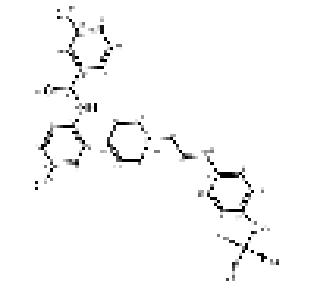 O=C(Nc1ccc(Cl)cc1C1=CCN(CC=Cc2ccc(OC(F)(F)F)cc2)CC1)c1ccnc(Cl)c1